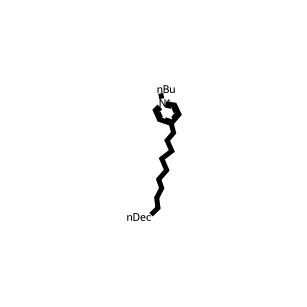 CCCCCCCCCCCCCCCCCCCc1cc[n+](CCCC)cc1